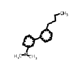 CCCCc1cccc(-c2cccc(N(C)C)c2)c1